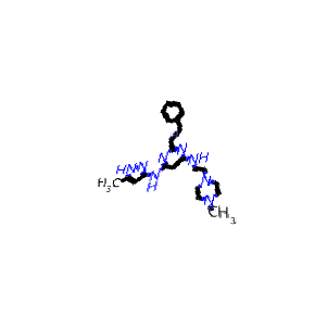 Cc1cc(Nc2cc(NCCN3CCN(C)CC3)nc(/C=C/c3ccccc3)n2)n[nH]1